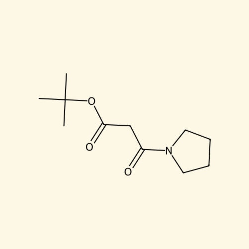 CC(C)(C)OC(=O)CC(=O)N1CCCC1